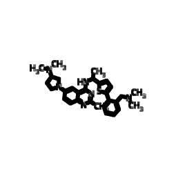 Cc1nc(NC(C)c2ccc(-c3ccccc3CN(C)C)s2)c2cc(N3CCC(N(C)C)C3)ccc2n1